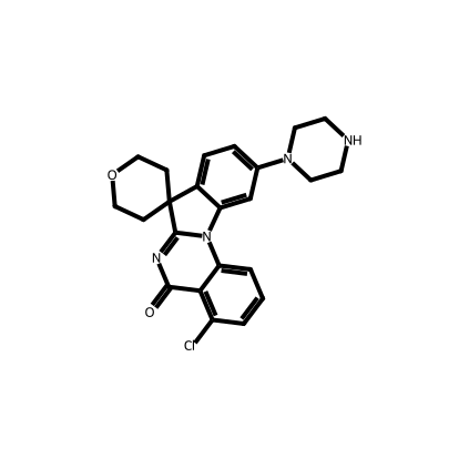 O=c1nc2n(c3cccc(Cl)c13)-c1cc(N3CCNCC3)ccc1C21CCOCC1